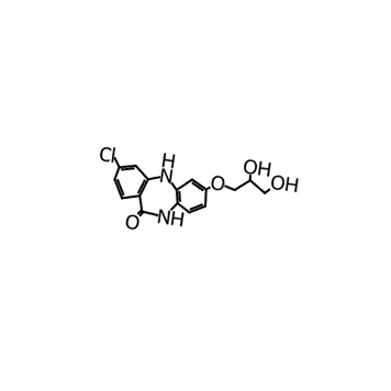 O=C1Nc2ccc(OCC(O)CO)cc2Nc2cc(Cl)ccc21